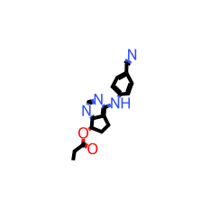 CCC(=O)OC1CCc2c(Nc3ccc(C#N)cc3)ncnc21